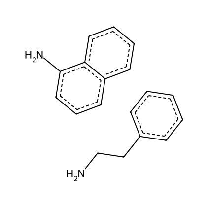 NCCc1ccccc1.Nc1cccc2ccccc12